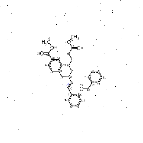 COC(=O)CCCCC(/C=C/c1ccccc1OCc1ccccc1)Cc1ccc(C(=O)OC)cc1